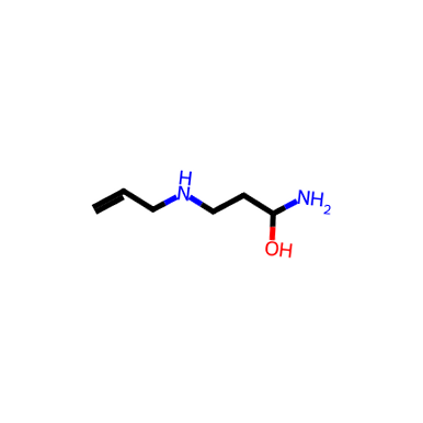 C=CCNCCC(N)O